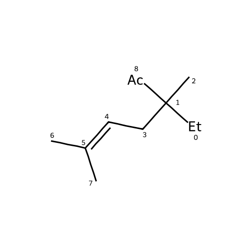 CCC(C)(CC=C(C)C)C(C)=O